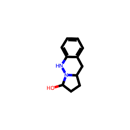 OC1CCC2Cc3ccccc3NN12